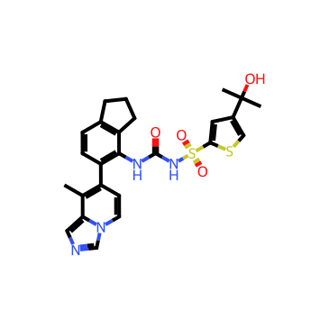 Cc1c(-c2ccc3c(c2NC(=O)NS(=O)(=O)c2cc(C(C)(C)O)cs2)CCC3)ccn2cncc12